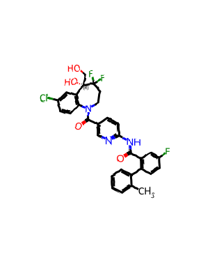 Cc1ccccc1-c1ccc(F)cc1C(=O)Nc1ccc(C(=O)N2CCC(F)(F)[C@](O)(CO)c3cc(Cl)ccc32)cn1